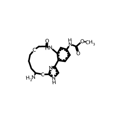 COC(=O)Nc1ccc2c(c1)NC(=O)CCCCCC(N)Cc1nc-2c[nH]1